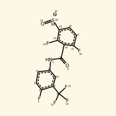 O=C(Nc1ccc(F)c(C(F)(F)F)c1)c1c(F)ccc([SH](=O)=O)c1F